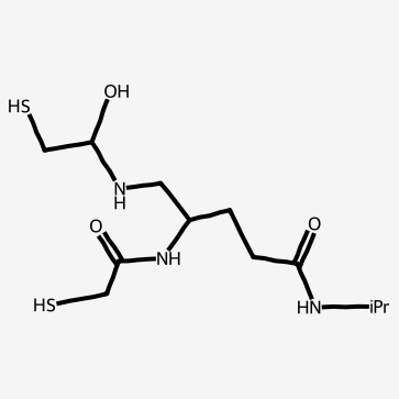 CC(C)NC(=O)CCC(CNC(O)CS)NC(=O)CS